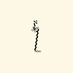 CCCCCCCCCCCCCCCCCCCCC(COC(C)=O)OP(=O)([O-])OCC[N+](C)(C)C